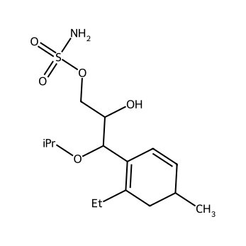 CCC1=C(C(OC(C)C)C(O)COS(N)(=O)=O)C=CC(C)C1